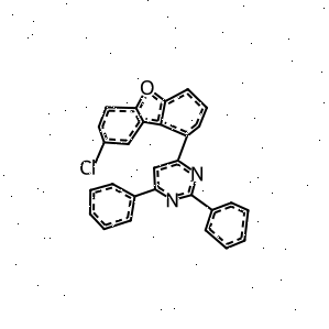 Clc1ccc2oc3cccc(-c4cc(-c5ccccc5)nc(-c5ccccc5)n4)c3c2c1